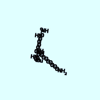 CC(C)(C)OC(=O)NCCCC[C@@H](NC(=O)CCOCCOCCOCCOCCOCCOCCOCCOCCN)C(=O)NCCOCCOCCOCCOCCNC(=O)CCCc1c[nH]c2ccccc12